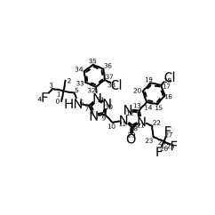 CC(C)(CF)CNc1nc(Cn2nc(-c3ccc(Cl)cc3)n(CCC(F)(F)F)c2=O)nn1-c1ccccc1Cl